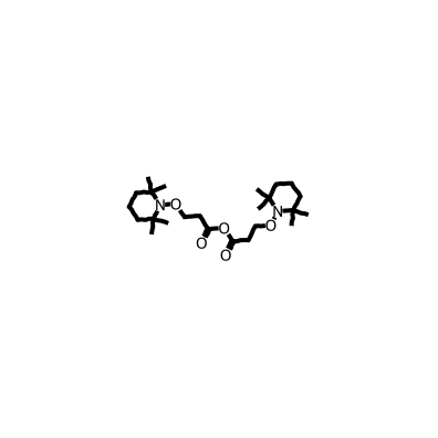 CC1(C)CCCC(C)(C)N1OCCC(=O)OC(=O)CCON1C(C)(C)CCCC1(C)C